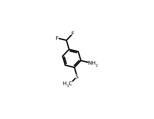 CSc1ccc(C(F)F)cc1N